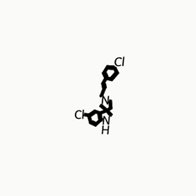 Clc1ccc(/C=C/CN2CCC3(CNc4ccc(Cl)cc43)C2)cc1